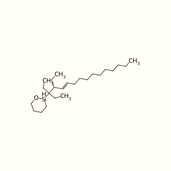 CCCCCCCCCCC=CC(CC)C(CC)(CC)[SiH]1CCCCO1